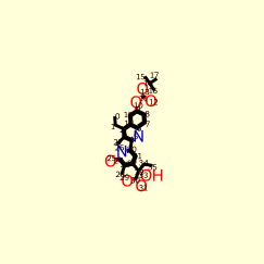 CCc1c2c(nc3ccc(OC(=O)OC(C)(C)C)cc13)-c1cc3c(c(=O)n1C2)COC(=O)[C@]3(O)CC